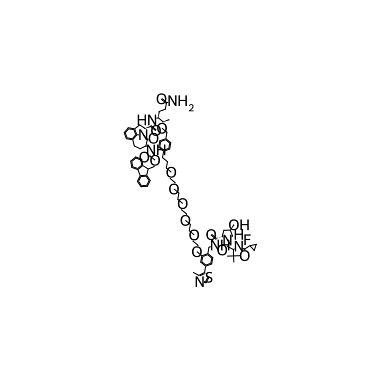 Cc1ncsc1-c1ccc(CNC(=O)[C@@H]2C[C@@H](O)CN2C(=O)[C@@H](NC(=O)C2(F)CC2)C(C)(C)C)c(OCCOCCOCCOCCOCCOCCCc2ccc(CO[C@H](C)[C@H](CCC(N)=O)NC(=O)[C@@H]3Cc4cccc5c4N3C(=O)[C@@H](NC(=O)OCC3c4ccccc4-c4ccccc43)CC5)cc2)c1